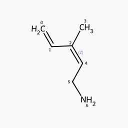 C=C/C(C)=C\CN